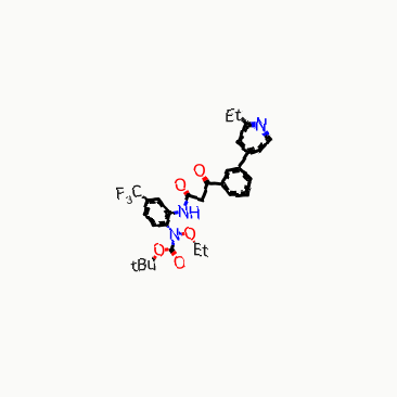 CCON(C(=O)OC(C)(C)C)c1ccc(C(F)(F)F)cc1NC(=O)CC(=O)c1cccc(-c2ccnc(CC)c2)c1